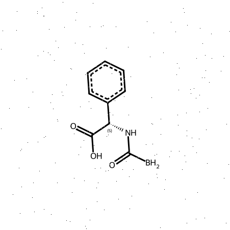 BC(=O)N[C@H](C(=O)O)c1ccccc1